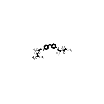 C=C(C)C(=O)OC(C)COc1ccc(Cc2ccc(OCC(C)OC(=O)C(=C)C)cc2)cc1